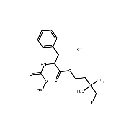 CC(C)(C)OC(=O)NC(Cc1ccccc1)C(=O)OCC[N+](C)(C)CF.[Cl-]